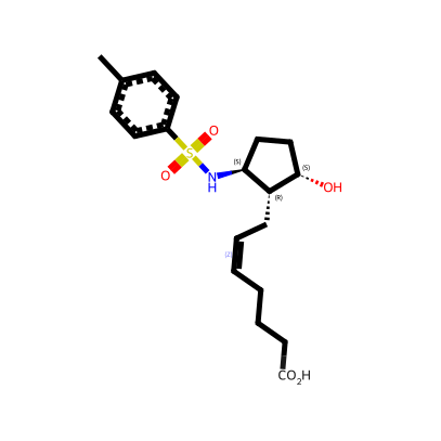 Cc1ccc(S(=O)(=O)N[C@H]2CC[C@H](O)[C@@H]2C/C=C\CCCC(=O)O)cc1